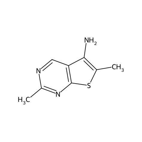 Cc1ncc2c(N)c(C)sc2n1